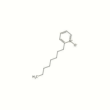 CCCCCCCCc1cccc[n+]1[O-]